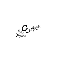 COC(C)(C)C(F)(F)c1cccc2c1CC[C@@H]2O[Si](C)(C)C(C)(C)C